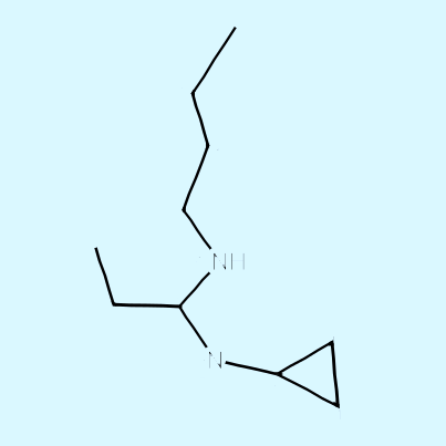 CCCCNC(CC)[N]C1CC1